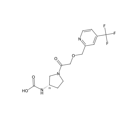 O=C(O)N[C@H]1CCN(C(=O)COCc2cc(C(F)(F)F)ccn2)C1